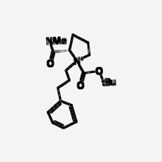 CNC(=O)[C@@H]1CCC[N+]1(CCCc1ccccc1)C(=O)OC(C)(C)C